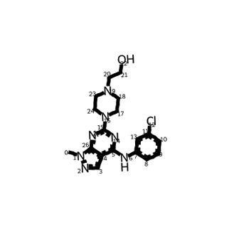 Cn1ncc2c(Nc3cccc(Cl)c3)nc(N3CCN(CCO)CC3)nc21